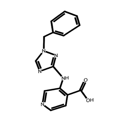 O=C(O)c1ccncc1Nc1ncn(Cc2ccccc2)n1